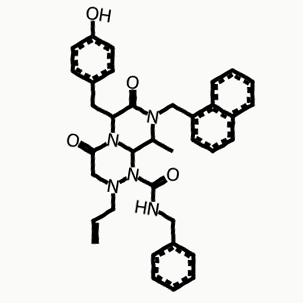 C=CCN1CC(=O)N2C(Cc3ccc(O)cc3)C(=O)N(Cc3cccc4ccccc34)C(C)C2N1C(=O)NCc1ccccc1